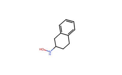 ONC1CCc2ccccc2C1